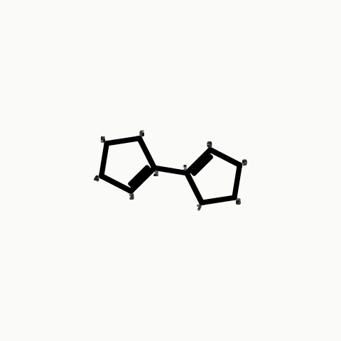 C1=C(C2=CCCC2)CCC1